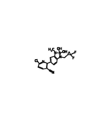 CN1c2cc(-c3nc(Cl)ccc3C#N)ccc2N(CC2CC2(F)F)S1(O)O